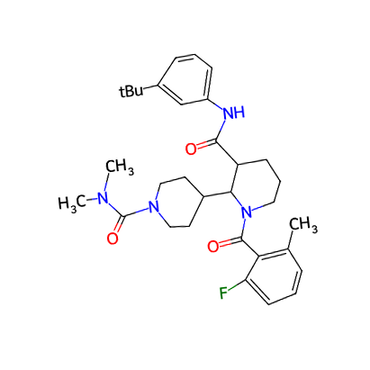 Cc1cccc(F)c1C(=O)N1CCCC(C(=O)Nc2cccc(C(C)(C)C)c2)C1C1CCN(C(=O)N(C)C)CC1